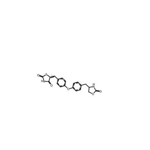 O=C1NC(Cc2ccc(Oc3ccc(/C=C4/SC(=O)NC4=O)cc3)cc2)CO1